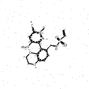 C=CS(=O)(=O)NCc1ccc2c(c1-c1nn(C)c(=O)cc1OC)OCCO2